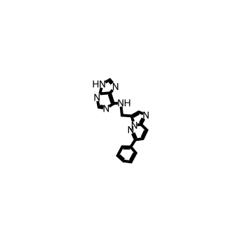 c1ccc(-c2ccc3ncc(CNc4ncnc5[nH]cnc45)n3n2)cc1